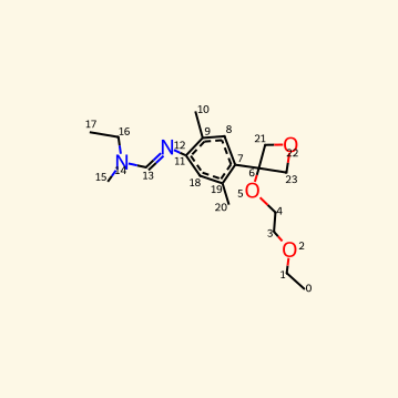 CCOCCOC1(c2cc(C)c(N=CN(C)CC)cc2C)COC1